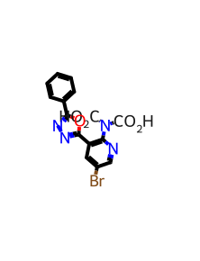 O=C(O)N(C(=O)O)c1ncc(Br)cc1-c1nnc(-c2ccccc2)o1